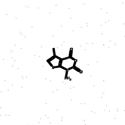 Cc1csc2c1c(=O)oc(=O)n2P